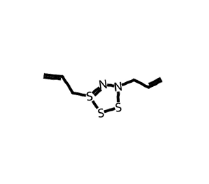 C=CCN1N=S(CC=C)SS1